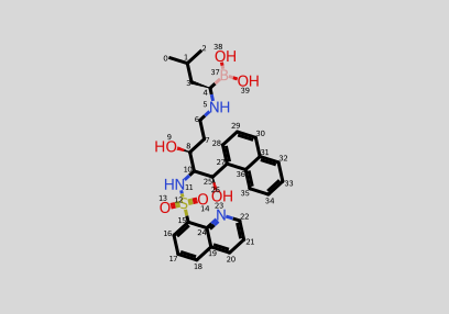 CC(C)C[C@H](NCC[C@H](O)C(NS(=O)(=O)c1cccc2cccnc12)[C@H](O)c1cccc2ccccc12)B(O)O